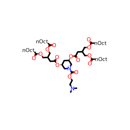 CCCCCCCCC(=O)OCC(COC(=O)CCCCCCCC)CC(=O)O[C@@H]1C[C@@H](OC(=O)CC(COC(=O)CCCCCCCC)COC(=O)CCCCCCCC)CN(C(=O)OCCN(C)C)C1